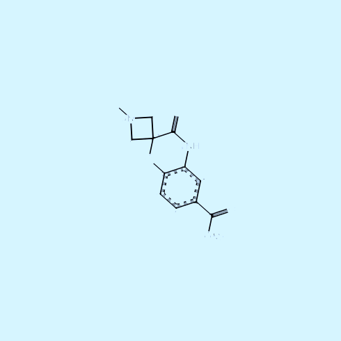 COC(=O)c1ccc2c(c1)NC(=O)C1(CN(C)C1)O2